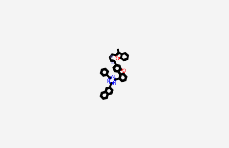 CC1=C(/C=C\C=C\c2ccc3c(c2)oc2cccc(-c4nc(-c5ccccc5)nc(-c5ccc6ccccc6c5)n4)c23)OC2C=CC=CC12